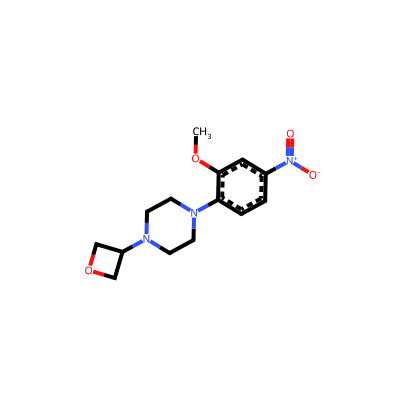 COc1cc([N+](=O)[O-])ccc1N1CCN(C2COC2)CC1